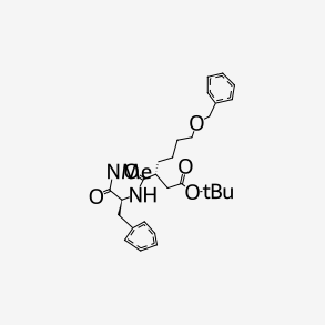 CNC(=O)[C@H](Cc1ccccc1)NC(=O)[C@H](CCCCOCc1ccccc1)CC(=O)OC(C)(C)C